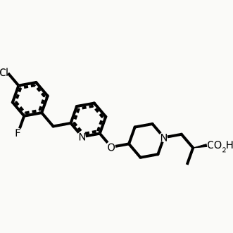 C[C@@H](CN1CCC(Oc2cccc(Cc3ccc(Cl)cc3F)n2)CC1)C(=O)O